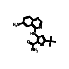 CC(C)(C)c1cc(Nc2ncnc3ccc(N)cc23)c(C(N)=O)[se]1